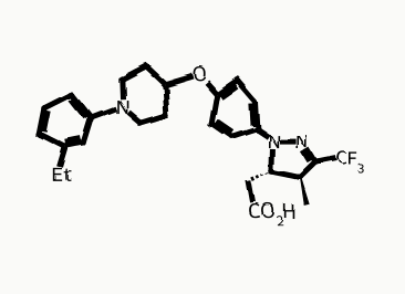 CCc1cccc(N2CCC(Oc3ccc(N4N=C(C(F)(F)F)[C@@H](C)[C@@H]4CC(=O)O)cc3)CC2)c1